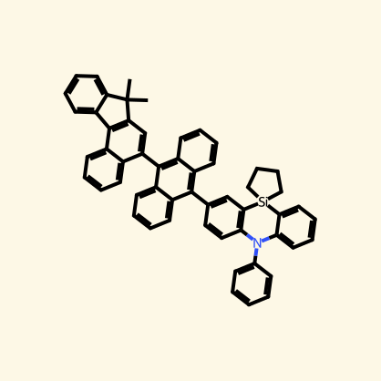 CC1(C)c2ccccc2-c2c1cc(-c1c3ccccc3c(-c3ccc4c(c3)[Si]3(CCCC3)c3ccccc3N4c3ccccc3)c3ccccc13)c1ccccc21